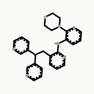 c1cncc(C(Cc2cccnc2Nc2cccnc2N2CCOCC2)c2cccnc2)c1